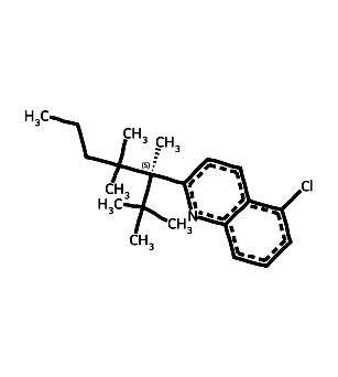 CCCC(C)(C)[C@@](C)(c1ccc2c(Cl)cccc2n1)C(C)(C)C